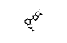 CN1Cc2cc(-c3cccc4c(N)c(C(=O)O)sc34)ccc2C1=O